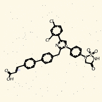 O=C(O)/C=C/c1ccc(-c2ccc(Cc3nc(-c4ccc(Cl)cc4Cl)cn3-c3ccc(N4CC(=O)NS4(=O)=O)cc3)cc2)cc1